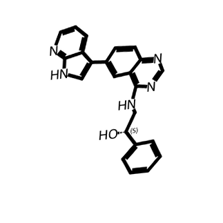 O[C@H](CNc1ncnc2ccc(-c3c[nH]c4ncccc34)cc12)c1ccccc1